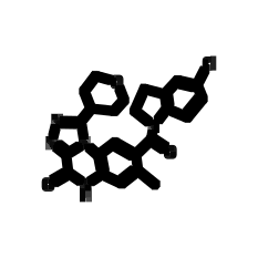 Cc1cc2[nH]c(=O)c3nnc(C4CCOCC4)n3c2cc1C(=O)N1CCc2cc(Cl)ccc21